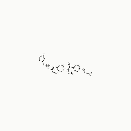 CN(C(=O)c1ccc(OCC2CC2)cc1)[C@H]1CCc2cc(CNCC3CCOC3)ccc2C1